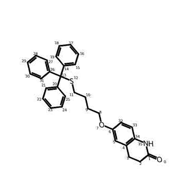 O=C1CCc2cc(OCCCCSC(c3ccccc3)(c3ccccc3)c3ccccc3)ccc2N1